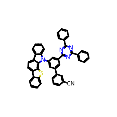 N#Cc1cccc(-c2cc(-c3nc(-c4ccccc4)nc(-c4ccccc4)n3)cc(-n3c4ccccc4c4ccc5c6ccccc6sc5c43)c2)c1